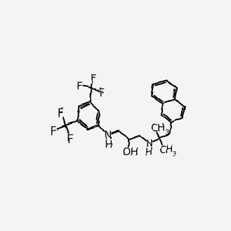 CC(C)(Cc1ccc2ccccc2c1)NCC(O)CNc1cc(C(F)(F)F)cc(C(F)(F)F)c1